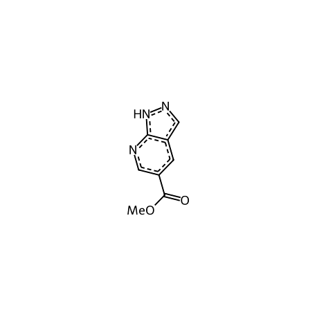 COC(=O)c1cnc2[nH]ncc2c1